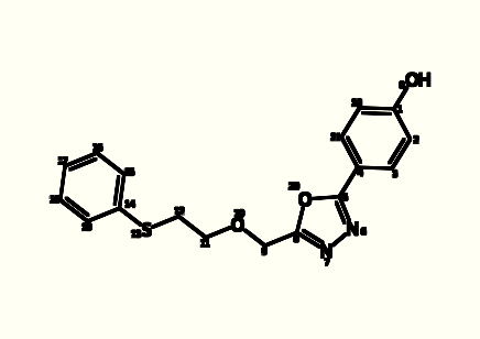 Oc1ccc(-c2nnc(COCCSc3ccccc3)o2)cc1